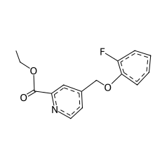 CCOC(=O)c1cc(COc2ccccc2F)ccn1